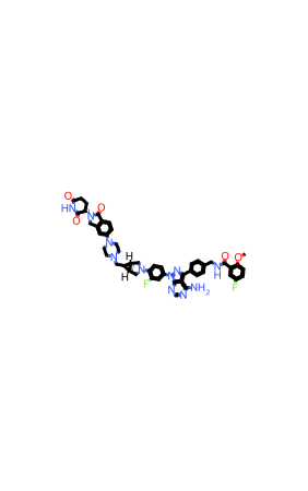 COc1ccc(F)cc1C(=O)NCc1ccc(-c2nn(-c3ccc(N4C[C@@H]5C(CN6CCN(c7ccc8c(c7)CN([C@H]7CCC(=O)NC7=O)C8=O)CC6)[C@@H]5C4)c(F)c3)c3ncnc(N)c23)cc1